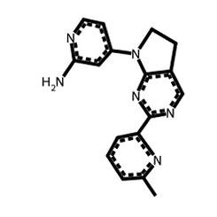 Cc1cccc(-c2ncc3c(n2)N(c2ccnc(N)c2)CC3)n1